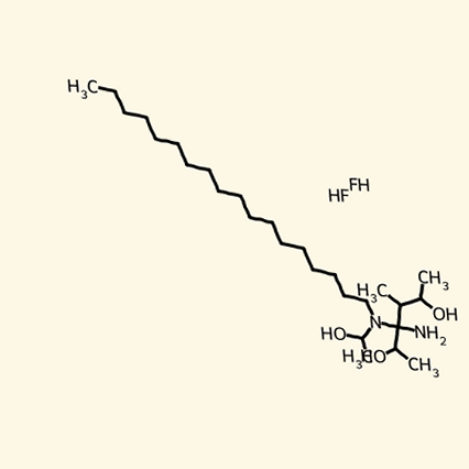 CCCCCCCCCCCCCCCCCCN(C(C)O)C(N)(C(C)O)C(C)C(C)O.F.F